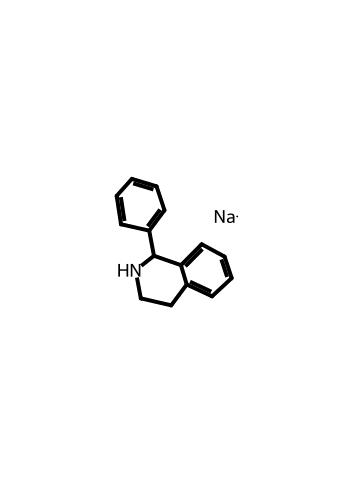 [Na].c1ccc(C2NCCc3ccccc32)cc1